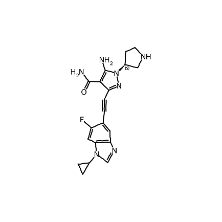 NC(=O)c1c(C#Cc2cc3ncn(C4CC4)c3cc2F)nn([C@H]2CCNC2)c1N